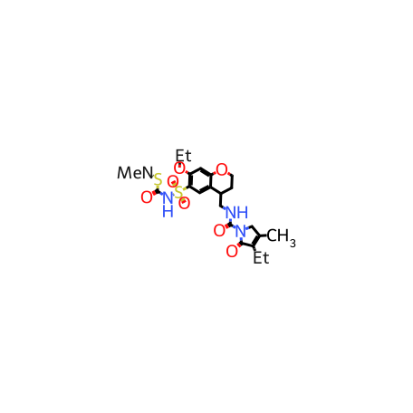 CCOc1cc2c(cc1S(=O)(=O)NC(=O)SNC)C(CNC(=O)N1CC(C)=C(CC)C1=O)CCO2